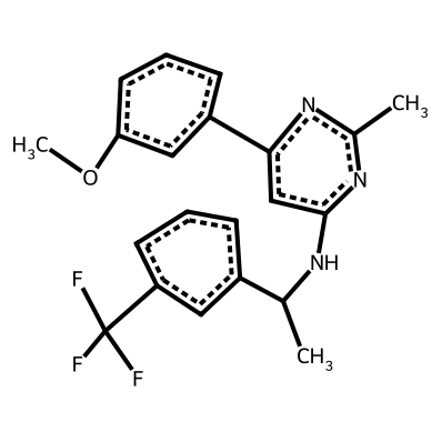 COc1cccc(-c2cc(NC(C)c3cccc(C(F)(F)F)c3)nc(C)n2)c1